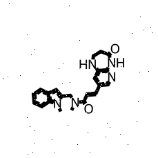 CN(Cc1cc2ccccc2n1C)C(=O)C=Cc1cnc2c(c1)NCCC(=O)N2